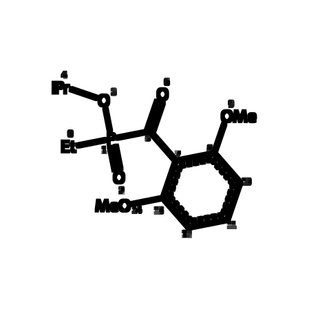 CCP(=O)(OC(C)C)C(=O)c1c(OC)cccc1OC